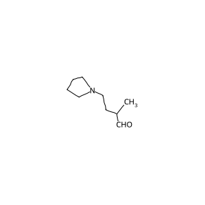 CC(C=O)CCN1CCCC1